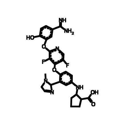 CN1CC=NC1c1cc(NC2CCCC2C(=O)O)ccc1Oc1c(F)cnc(Oc2cc(C(=N)N)ccc2O)c1F